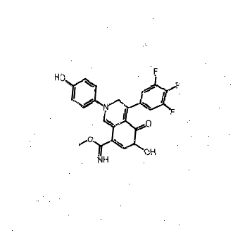 COC(=N)C1=CC(O)C(=O)C2=C(c3cc(F)c(F)c(F)c3)CN(c3ccc(O)cc3)C=C12